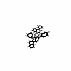 O=c1c2c(ccc3c4ccccc4n(-c4nc(-c5ccccc5)c5ccccc5n4)c32)c2c3ccccc3ccc2n1-c1ccccc1